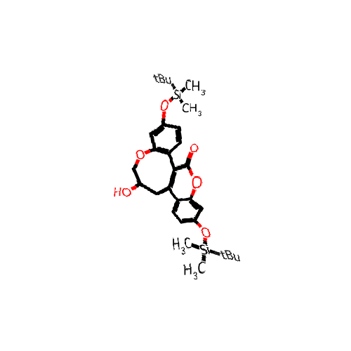 CC(C)(C)[Si](C)(C)Oc1ccc2c(c1)OCC(O)Cc1c-2c(=O)oc2cc(O[Si](C)(C)C(C)(C)C)ccc12